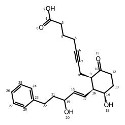 O=C(O)CCCC#CC[C@H]1C(=O)CC[C@@H](O)[C@H]1C=CC(O)CCc1ccccc1